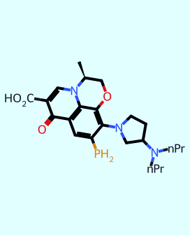 CCCN(CCC)C1CCN(c2c(P)cc3c(=O)c(C(=O)O)cn4c3c2OC[C@@H]4C)C1